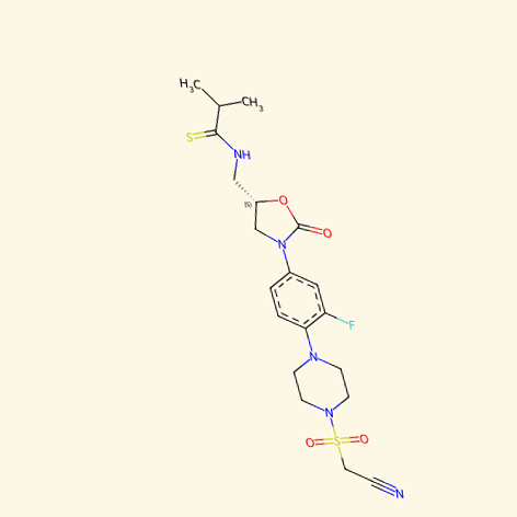 CC(C)C(=S)NC[C@H]1CN(c2ccc(N3CCN(S(=O)(=O)CC#N)CC3)c(F)c2)C(=O)O1